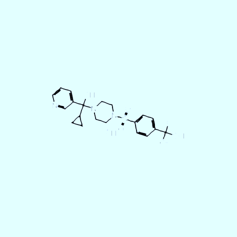 C[C@@H]1CN(C(C)(c2cccnc2)C2CC2)CCN1S(=O)(=O)c1ccc(C(O)(C(F)(F)F)C(F)(F)F)cc1